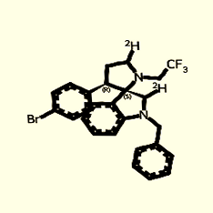 [2H]C1C[C@H](c2ccc(Br)cc2)[C@@]2(c3ccccc3N(Cc3ccccc3)C2[2H])N1CC(F)(F)F